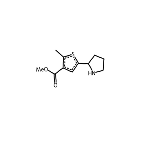 COC(=O)c1cc(C2CCCN2)sc1C